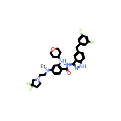 CCN(CCN1CCC(F)(F)C1)c1ccc(C(=O)Nc2n[nH]c3ccc(Cc4cc(F)cc(F)c4)cc23)c(NC2CCOCC2)c1